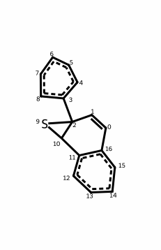 C1=CC2(c3ccccc3)SC2c2ccccc21